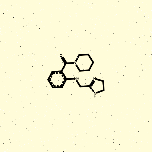 O=C(c1ccccc1NCC1=NCCN1)N1CCCCC1